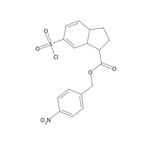 O=C(OCc1ccc([N+](=O)[O-])cc1)C1CCC2C=CC(S(=O)(=O)Cl)=CC21